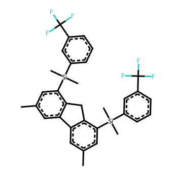 Cc1cc2c(c([Si](C)(C)c3cccc(C(F)(F)F)c3)c1)Cc1c-2cc(C)cc1[Si](C)(C)c1cccc(C(F)(F)F)c1